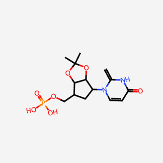 C=C1NC(=O)C=CN1C1CC(COP(=O)(O)O)C2OC(C)(C)OC21